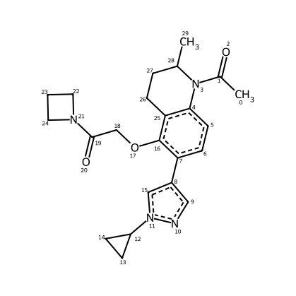 CC(=O)N1c2ccc(-c3cnn(C4CC4)c3)c(OCC(=O)N3CCC3)c2CCC1C